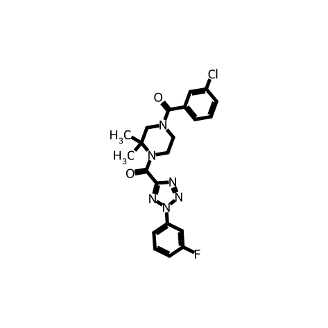 CC1(C)CN(C(=O)c2cccc(Cl)c2)CCN1C(=O)c1nnn(-c2cccc(F)c2)n1